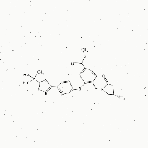 COC(=O)c1ccc(CN2C[C@@H](C)CC2=O)c(Oc2ccc(-c3nnc(C(C)(C)O)s3)cc2)c1